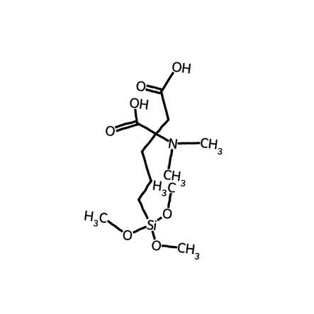 CO[Si](CCCC(CC(=O)O)(C(=O)O)N(C)C)(OC)OC